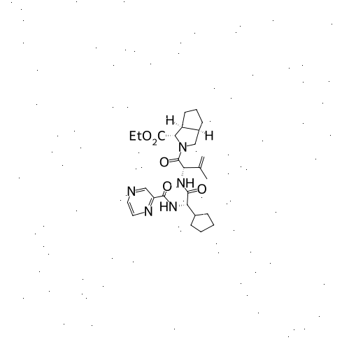 C=C(C)[C@H](NC(=O)[C@@H](NC(=O)c1cnccn1)C1CCCC1)C(=O)N1C[C@@H]2CCC[C@@H]2[C@H]1C(=O)OCC